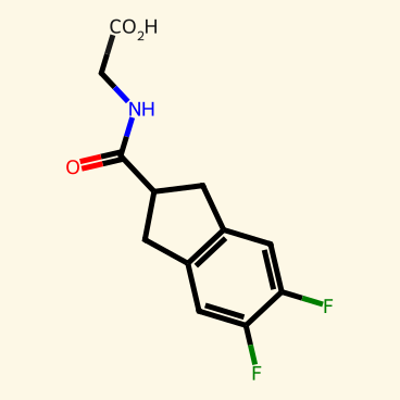 O=C(O)CNC(=O)C1Cc2cc(F)c(F)cc2C1